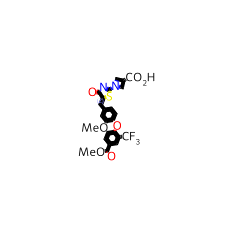 COC(=O)c1ccc(Oc2ccc(/C=C3\SC(N4CC(C(=O)O)C4)=NC3=O)cc2OC)c(C(F)(F)F)c1